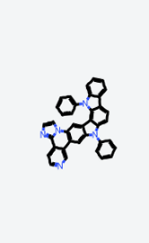 c1ccc(-n2c3cc4c5cnccc5c5nccn5c4cc3c3c2ccc2c4ccccc4n(-c4ccccc4)c23)cc1